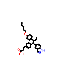 CCCCCOc1ccc(/C(CC)=C(\c2ccc(/C=C/C(=O)O)cc2)c2ccc3[nH]ncc3c2)cc1